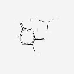 Cc1c[nH]c(=[Se])[nH]c1=O.NP(O)O